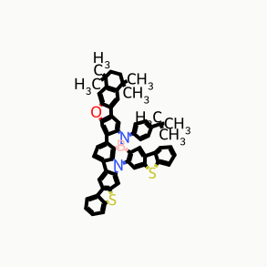 CC(C)(C)c1ccc(N2B3c4cc5c(cc4-n4c6cc7sc8ccccc8c7cc6c6ccc(c3c64)-c3cc4oc6cc7c(cc6c4cc32)C(C)(C)CCC7(C)C)sc2ccccc25)cc1